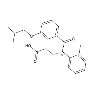 Cc1ccccc1[C@H](CCC(=O)O)C(=O)c1cccc(OCC(C)C)c1